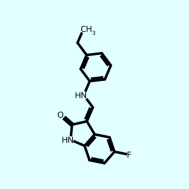 CCc1cccc(NC=C2C(=O)Nc3ccc(F)cc32)c1